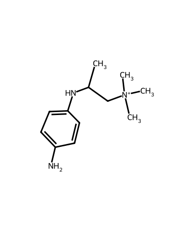 CC(C[N+](C)(C)C)Nc1ccc(N)cc1